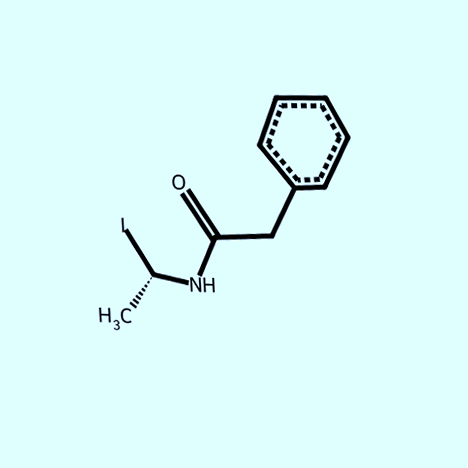 C[C@H](I)NC(=O)Cc1ccccc1